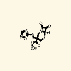 CC(C)(C)OC(=O)C1(CSc2nncs2)CS[C@@H]2C(=O)C(=O)N2C1